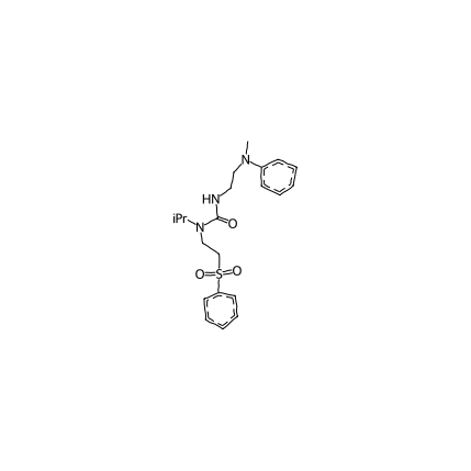 CC(C)N(CCS(=O)(=O)c1ccccc1)C(=O)NCCN(C)c1ccccc1